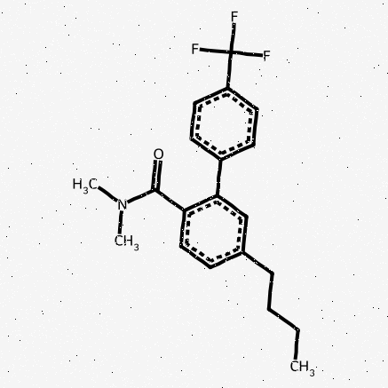 CCCCc1ccc(C(=O)N(C)C)c(-c2ccc(C(F)(F)F)cc2)c1